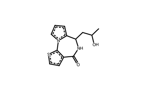 CC(O)CC1NC(=O)c2ccsc2-n2cccc21